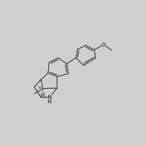 COc1ccc(-c2ccc3c(c2)C2NCCC3[C@@H]2C)cc1